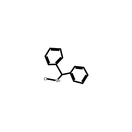 [Cl][Sn][CH](c1ccccc1)c1ccccc1